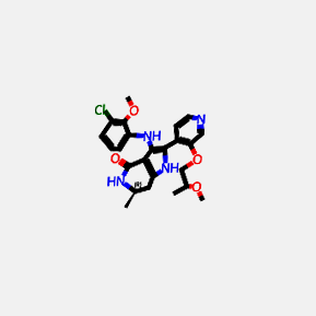 COc1c(Cl)cccc1Nc1c(-c2ccncc2OCC(C)OC)[nH]c2c1C(=O)N[C@H](C)C2